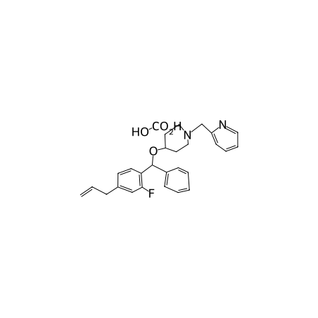 C=CCc1ccc(C(OC2CCN(Cc3ccccn3)CC2)c2ccccc2)c(F)c1.O=C(O)O